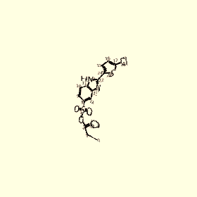 CCC(=O)OS(=O)(=O)c1ccc2[nH]c(-c3ccc(Cl)s3)nc2c1